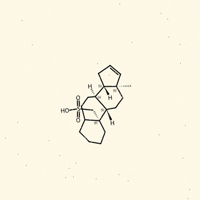 C[C@@]12C=CC[C@H]1[C@@H]1CCC3CCCC[C@]3(CS(=O)(=O)O)[C@H]1CC2